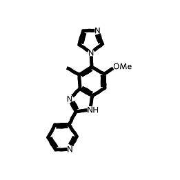 COc1cc2[nH]c(-c3cccnc3)nc2c(C)c1-n1ccnc1